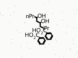 CCCC(O)CC(O)CC(C)C.O=C(O)c1ccccc1.O=C(O)c1ccccc1